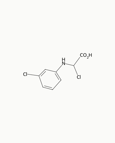 O=C(O)C(Cl)Nc1cccc(Cl)c1